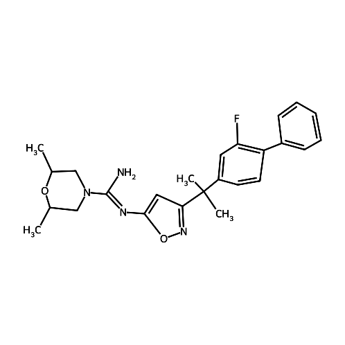 CC1CN(/C(N)=N/c2cc(C(C)(C)c3ccc(-c4ccccc4)c(F)c3)no2)CC(C)O1